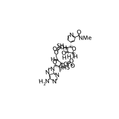 CNC(=O)c1cc([C@@H]2O[C@@H]3COP(=O)(S)O[C@H]4[C@@H](F)[C@H](n5cnc6c(N)ncnc65)O[C@@H]4COP(=O)(S)O[C@@H]2[C@@H]3O)ccn1